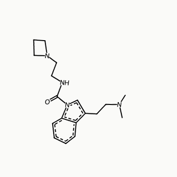 CN(C)CCc1cn(C(=O)NCCN2CCC2)c2ccccc12